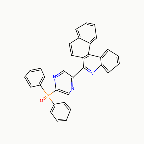 O=P(c1ccccc1)(c1ccccc1)c1cnc(-c2nc3ccccc3c3c2ccc2ccccc23)cn1